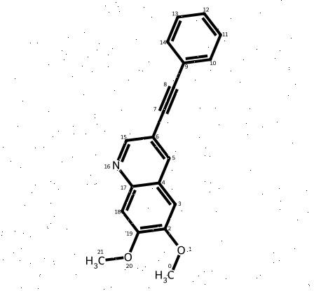 COc1cc2cc(C#Cc3ccccc3)cnc2cc1OC